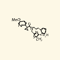 COc1ccc(C2(C(=O)N(CCCc3ccccc3)Cc3nc(C(=O)O)c(C)s3)CC2)nc1